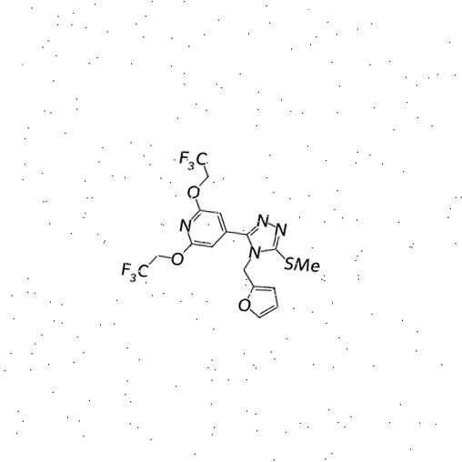 CSc1nnc(-c2cc(OCC(F)(F)F)nc(OCC(F)(F)F)c2)n1Cc1ccco1